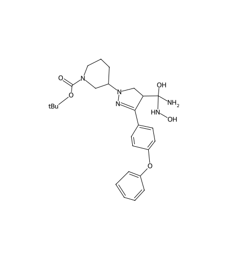 CC(C)(C)OC(=O)N1CCCC(N2CC(C(N)(O)NO)C(c3ccc(Oc4ccccc4)cc3)=N2)C1